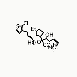 C/C=C\C[C@@H](O)C(O)(C(=O)O)C1CCC[C@H]1/C(O)=C\[C@@H](CC)c1ccsc1Cl